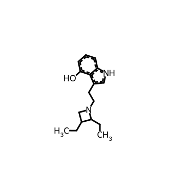 CCC1CN(CCc2c[nH]c3cccc(O)c23)C1CC